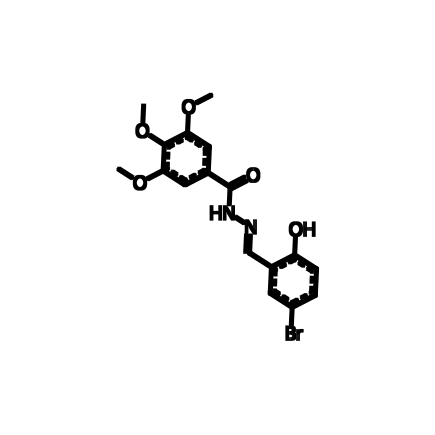 COc1cc(C(=O)NN=Cc2cc(Br)ccc2O)cc(OC)c1OC